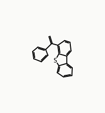 C=C(c1ccccc1)c1cccc2c1sc1ccccc12